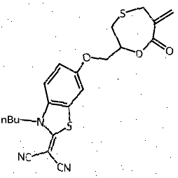 C=C1CSCC(COc2ccc3c(c2)SC(=C(C#N)C#N)N3CCCC)OC1=O